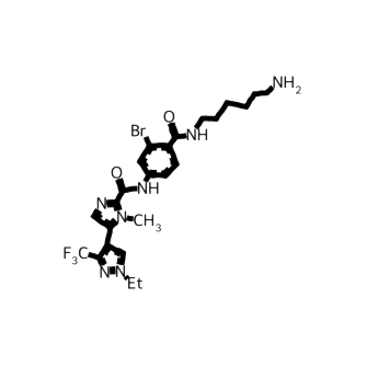 CCn1cc(-c2cnc(C(=O)Nc3ccc(C(=O)NCCCCCCN)c(Br)c3)n2C)c(C(F)(F)F)n1